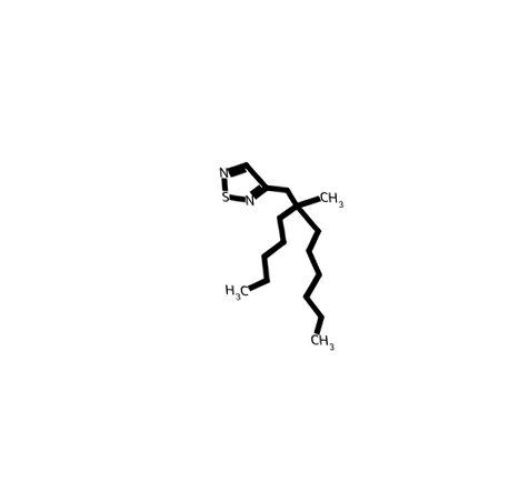 CCCCCCC(C)(CCCCC)Cc1cnsn1